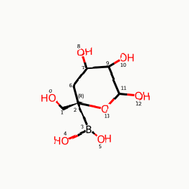 OC[C@@]1(B(O)O)CC(O)C(O)C(O)O1